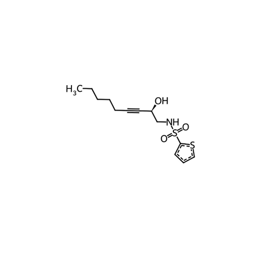 CCCCCC#C[C@@H](O)CNS(=O)(=O)c1cccs1